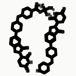 CC(C)(C)OC(=O)N1CCN(CC2CCN(c3ccc4c(c3)C(=O)N(C3CCC(=O)NC3=O)C4)CC2)CC1.O=C1CCC(N2Cc3ccc(N4CCC(CN5CCNCC5)CC4)cc3C2=O)C(=O)N1